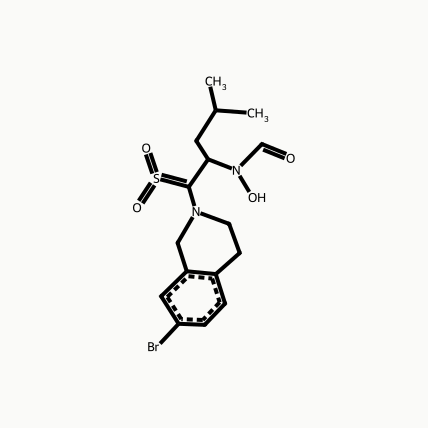 CC(C)CC(C(N1CCc2ccc(Br)cc2C1)=S(=O)=O)N(O)C=O